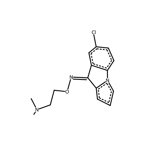 CN(C)CCON=C1c2cc(Cl)ccc2-n2cccc21